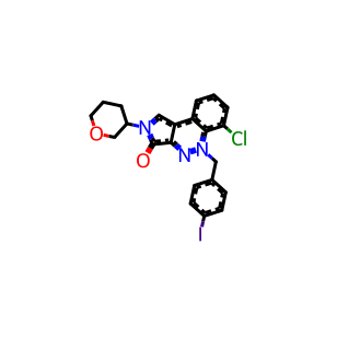 O=c1c2nn(Cc3ccc(I)cc3)c3c(Cl)cccc3c-2cn1C1CCCOC1